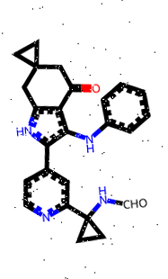 O=CNC1(c2cc(-c3[nH]c4c(c3Nc3ccccc3)C(=O)CC3(CC3)C4)ccn2)CC1